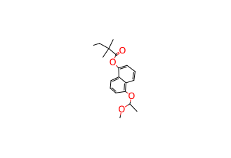 CCC(C)(C)C(=O)Oc1cccc2c(OC(C)OC)cccc12